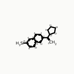 C=C(c1ccc2cc([SiH3])ccc2c1)C1CCCC1